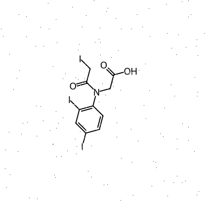 O=C(O)CN(C(=O)CI)c1ccc(I)cc1I